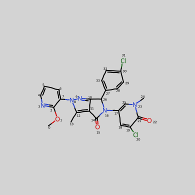 COc1ncccc1-n1nc2c(c1C)C(=O)N(c1cc(Cl)c(=O)n(C)c1)C2c1ccc(Cl)cc1